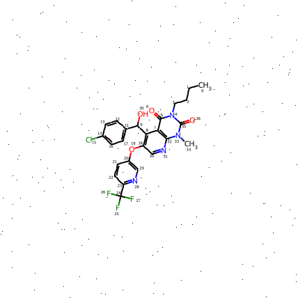 CCCCn1c(=O)c2c(C(O)c3ccc(Cl)cc3)c(Oc3ccc(C(F)(F)F)nc3)cnc2n(C)c1=O